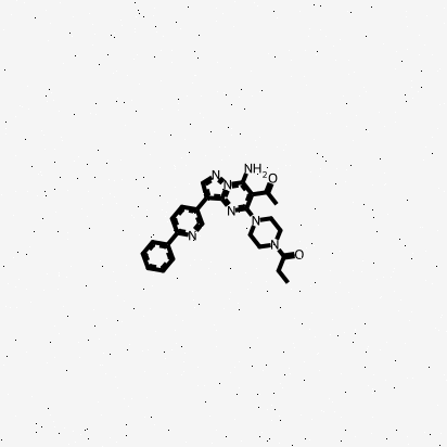 CCC(=O)N1CCN(c2nc3c(-c4ccc(-c5ccccc5)nc4)cnn3c(N)c2C(C)=O)CC1